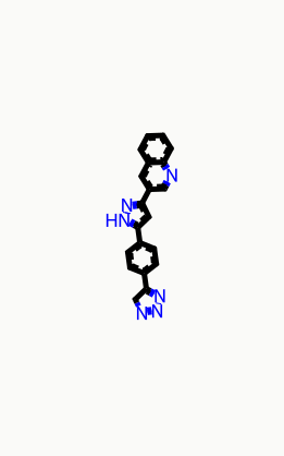 c1ccc2ncc(-c3cc(-c4ccc(C5=NN=NC5)cc4)[nH]n3)cc2c1